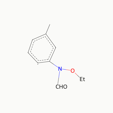 CCON(C=O)c1[c]ccc(C)c1